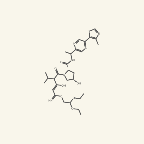 CCOC(COC(=N)/C=C(\O)C(C(=O)N1C[C@H](O)C[C@H]1C(=O)NC(C)c1cnc(-c2scnc2C)cn1)C(C)C)OCC